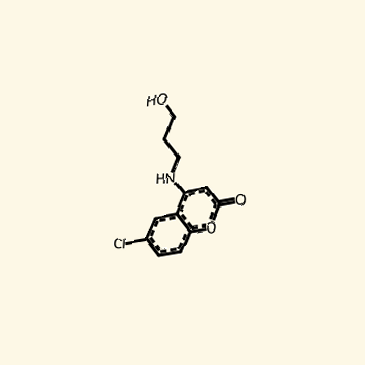 O=c1cc(NCCCO)c2cc(Cl)ccc2o1